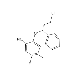 Cc1cc(O[C@H](CCCl)c2ccccc2)c(C#N)cc1F